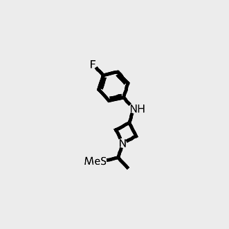 CSC(C)N1CC(Nc2ccc(F)cc2)C1